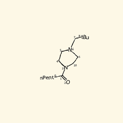 CCCCCC(=O)N1CCN(CC(C)(C)C)CC1